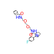 CN1C2CCC1C(C(=O)NCCOCCOCCNC(=O)C1CC3C=CC1C3)C(c1ccc(F)cc1)C2